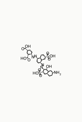 Nc1ccc2cc(S(=O)(=O)O)c(N=Nc3ccc(N=Nc4ccc(C(=O)O)cc4C(=O)O)c4ccc(S(=O)(=O)O)cc34)c(O)c2c1